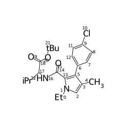 CCn1cc(C)c(-c2ccc(Cl)cc2)c1C(=O)NC(C(=O)OC(C)(C)C)C(C)C